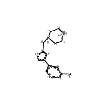 Oc1cncc(-c2csc(CN3CCNCC3)c2)c1